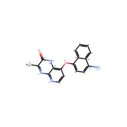 Cc1nc2nccc(Oc3ccc(N)c4ccccc34)c2[nH]c1=O